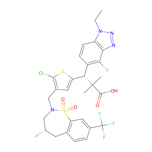 CCn1nnc2c(F)c([C@@H](c3cc(CN4C[C@@H](C)Cc5ccc(C(F)(F)F)cc5S4(=O)=O)c(Cl)s3)C(C)(C)C(=O)O)ccc21